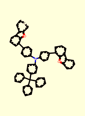 c1ccc(C(c2ccccc2)(c2ccccc2)c2ccc(N(c3ccc(-c4cccc5c4oc4ccccc45)cc3)c3ccc(-c4cccc5c4oc4ccccc45)cc3)cc2)cc1